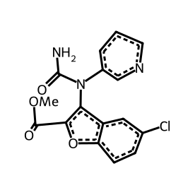 COC(=O)c1oc2ccc(Cl)cc2c1N(C(N)=O)c1cccnc1